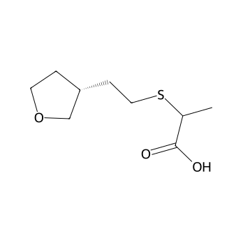 CC(SCC[C@H]1CCOC1)C(=O)O